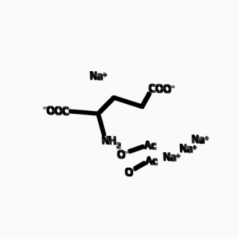 CC(=O)[O-].CC(=O)[O-].NC(CCC(=O)[O-])C(=O)[O-].[Na+].[Na+].[Na+].[Na+]